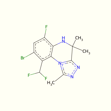 Cc1nnc2n1-c1c(c(F)cc(Br)c1C(F)F)NC2(C)C